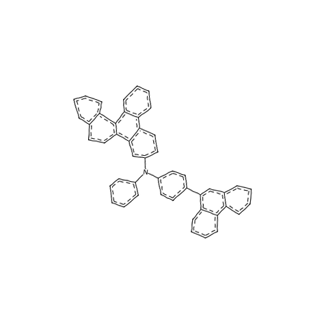 c1ccc(N(c2ccc(-c3cc4ccccc4c4ccccc34)cc2)c2ccc3c4ccccc4c4c5ccccc5ccc4c3c2)cc1